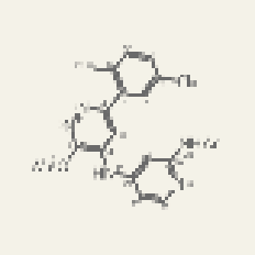 COc1nnc(-c2cc(Cl)ccc2F)cc1Nc1ccnc(NC(C)=O)c1